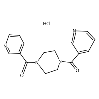 Cl.O=C(c1cccnc1)N1CCN(C(=O)c2cccnc2)CC1